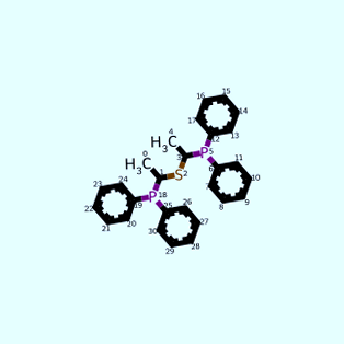 CC(SC(C)P(c1ccccc1)c1ccccc1)P(c1ccccc1)c1ccccc1